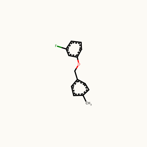 Cc1ccc(COc2[c]ccc(F)c2)cc1